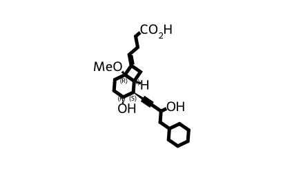 CO[C@]12CC[C@@H](O)[C@H](C#CC(O)CC3CCCCC3)[C@H]1CC2=CCCC(=O)O